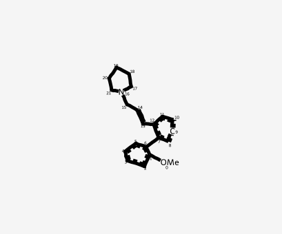 COc1ccccc1-c1ccccc1C=CCN1CCCCC1